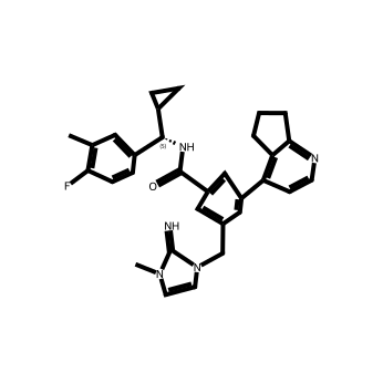 Cc1cc([C@@H](NC(=O)c2cc(Cn3ccn(C)c3=N)cc(-c3ccnc4c3CCC4)c2)C2CC2)ccc1F